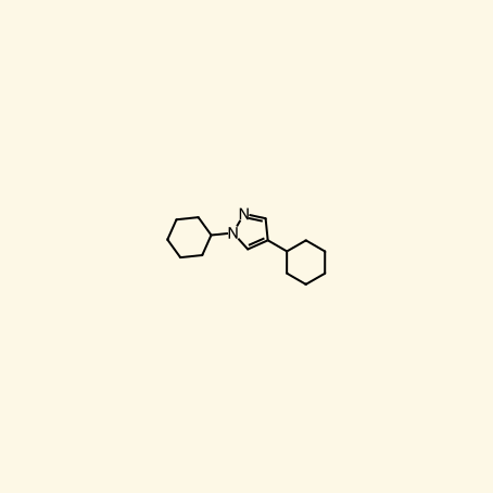 c1nn(C2CCCCC2)cc1C1CCCCC1